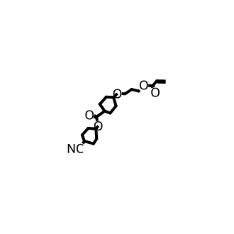 C=CC(=O)OCCCOC1CCC(C(=O)OC2CCC(C#N)CC2)CC1